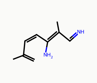 C=C(C)/C=C\C(N)=C(/C)C=N